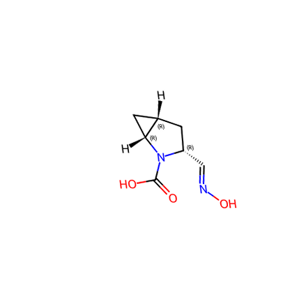 O=C(O)N1[C@@H]2C[C@@H]2C[C@@H]1C=NO